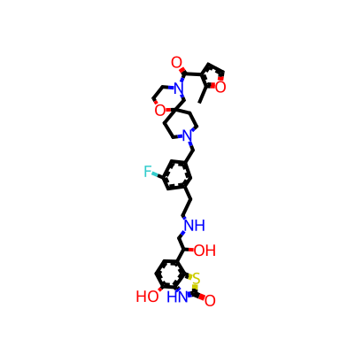 Cc1occc1C(=O)N1CCOC2(CCN(Cc3cc(F)cc(CCNCC(O)c4ccc(O)c5[nH]c(=O)sc45)c3)CC2)C1